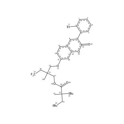 CCc1ccccc1-c1cc2ccc(OCC(C)(COC(=O)C(C)(CC(C)(C)C)C(C)(C)C)CC(F)(F)F)cc2oc1=O